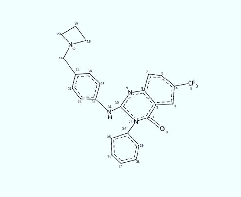 O=c1c2cc(C(F)(F)F)ccc2nc(Nc2ccc(CN3CCC3)cc2)n1-c1ccccc1